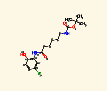 CC(C)(C)OC(=O)NCCCCCC(=O)Nc1cc(Br)ccc1O